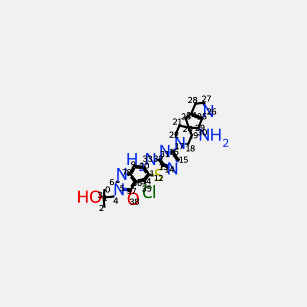 CC(C)(O)Cn1cnc2ccc(Sc3ncc(N4CCC5(CC4)CC4=C(N=CC4)[C@H]5N)nc3N)c(Cl)c2c1=O